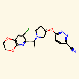 CC(c1nc2c(cc1F)OCCO2)N1CC[C@@H](Oc2ccc(C#N)nn2)C1